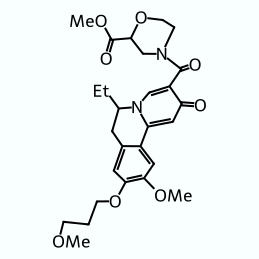 CCC1Cc2cc(OCCCOC)c(OC)cc2-c2cc(=O)c(C(=O)N3CCOC(C(=O)OC)C3)cn21